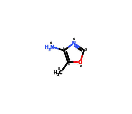 Cc1ocnc1N